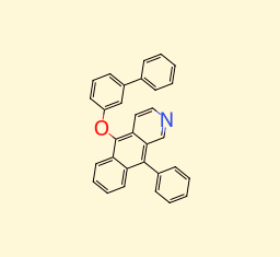 c1ccc(-c2cccc(Oc3c4ccccc4c(-c4ccccc4)c4cnccc34)c2)cc1